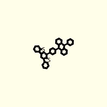 c1ccc(-c2c3ccccc3c(-c3ccc(-c4c5sc6ccccc6c5cc5c4sc4ccccc45)cc3)c3ccccc23)cc1